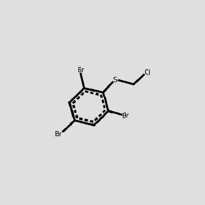 ClCSc1c(Br)cc(Br)cc1Br